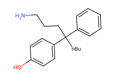 CCCCC(C[CH]CN)(c1ccccc1)c1ccc(O)cc1